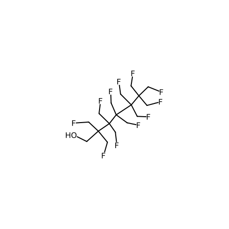 OCC(CF)(CF)C(CF)(CF)C(CF)(CF)C(CF)(CF)C(CF)(CF)CF